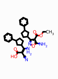 CCOC(=O)c1c(C2CCC(c3ccccc3)C2)noc1N.N#CC(C(=O)O)=C(N)C1CCC(c2ccccc2)C1